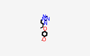 COc1ccc(OC(C)c2ccn3ncnc3n2)cc1